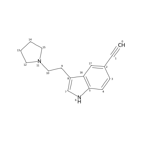 C#Cc1ccc2[nH]cc(CCN3CCCC3)c2c1